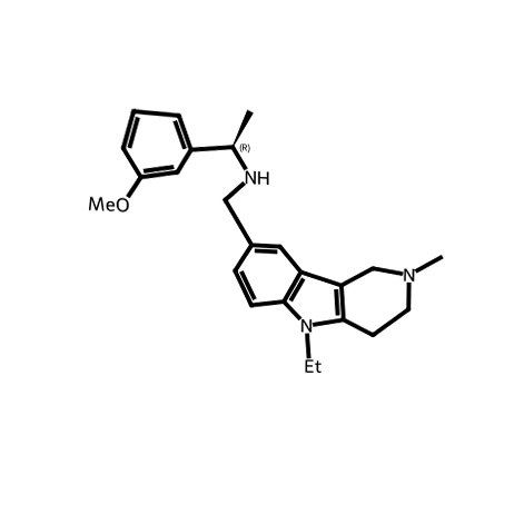 CCn1c2c(c3cc(CN[C@H](C)c4cccc(OC)c4)ccc31)CN(C)CC2